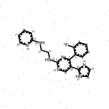 Fc1ccccc1-c1nc(NCCNc2ccccn2)ncc1-c1ncc[nH]1